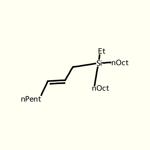 CCCCCC=CC[Si](CC)(CCCCCCCC)CCCCCCCC